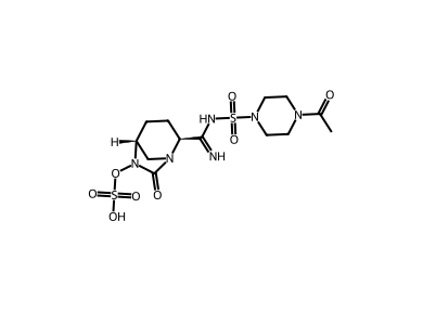 CC(=O)N1CCN(S(=O)(=O)NC(=N)[C@@H]2CC[C@@H]3CN2C(=O)N3OS(=O)(=O)O)CC1